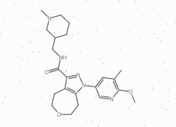 COc1ncc(-n2nc(C(=O)NCC3CCCN(C)C3)c3c2CCOCC3)cc1C